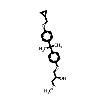 COCC(O)COc1ccc(C(C)(C)c2ccc(OCC3CC3)cc2)cc1